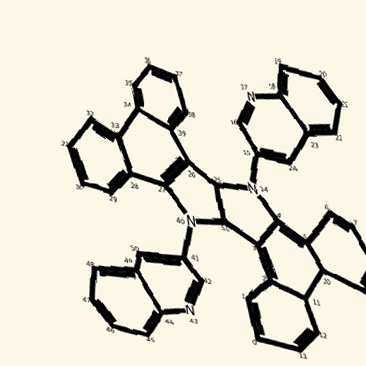 C1=CC2=C3C(=C4C=CC=CC4C2C=C1)N(c1cnc2ccccc2c1)C1c2c(c4ccccc4c4ccccc24)N(c2cnc4ccccc4c2)C31